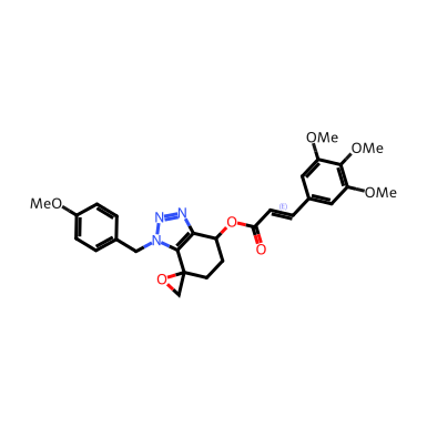 COc1ccc(Cn2nnc3c2C2(CCC3OC(=O)/C=C/c3cc(OC)c(OC)c(OC)c3)CO2)cc1